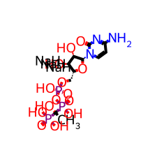 CC(O)(P(=O)(O)O)P(=O)(O)OP(=O)(O)OC[C@H]1O[C@@H](n2ccc(N)nc2=O)[C@@H](O)[C@@H]1O.[NaH].[NaH].[NaH]